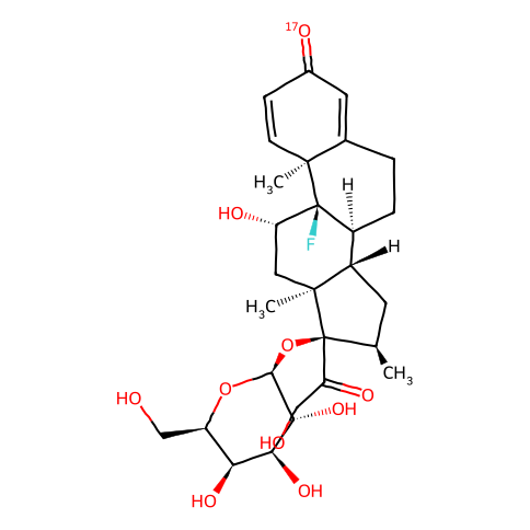 C[C@@H]1C[C@H]2[C@@H]3CCC4=CC(=[17O])C=C[C@]4(C)[C@@]3(F)[C@@H](O)C[C@]2(C)[C@@]1(O[C@@H]1O[C@H](CO)[C@H](O)[C@H](O)[C@H]1O)C(=O)CO